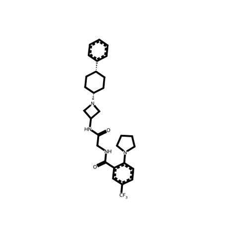 O=C(CNC(=O)c1cc(C(F)(F)F)ccc1N1CCCC1)NC1CN([C@H]2CC[C@@H](c3ccccc3)CC2)C1